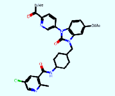 CNC(=O)c1ccc(-n2c(=O)n(CC3CCC(NC(=O)c4cc(Cl)cnc4C)CC3)c3cc(OC)ccc32)cn1